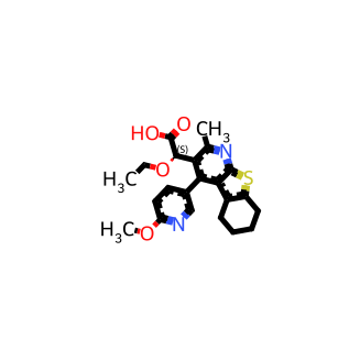 CCO[C@H](C(=O)O)c1c(C)nc2sc3c(c2c1-c1ccc(OC)nc1)CCCC3